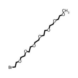 COCCOCCOCCOCCOCCOCCOCCBr